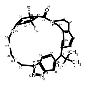 CC(C)(C(=O)O)C1c2ccc3c(c2)CN(CC3)C(=O)c2c(F)cc(cc2F)OCCCCCn2nnc3cc1ccc32